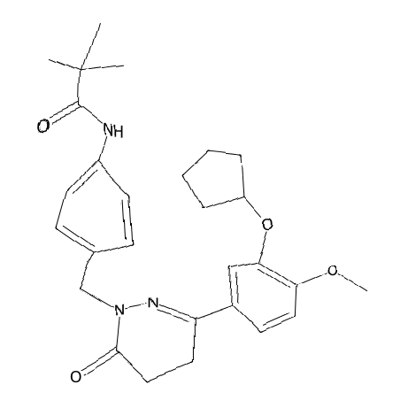 COc1ccc(C2=NN(Cc3ccc(NC(=O)C(C)(C)C)cc3)C(=O)CC2)cc1OC1CCCC1